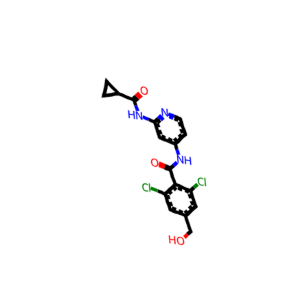 O=C(Nc1ccnc(NC(=O)C2CC2)c1)c1c(Cl)cc(CO)cc1Cl